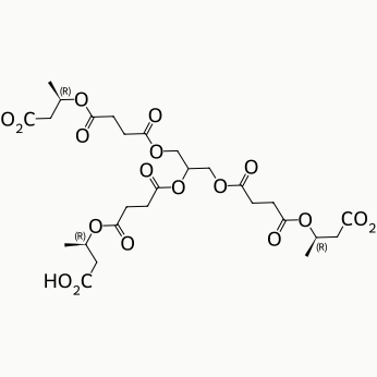 C[C@H](CC(=O)O)OC(=O)CCC(=O)OCC(COC(=O)CCC(=O)O[C@H](C)CC(=O)O)OC(=O)CCC(=O)O[C@H](C)CC(=O)O